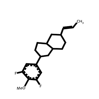 C/C=C/C1CCC2CC(c3cc(F)c(OC)c(F)c3)CCC2C1